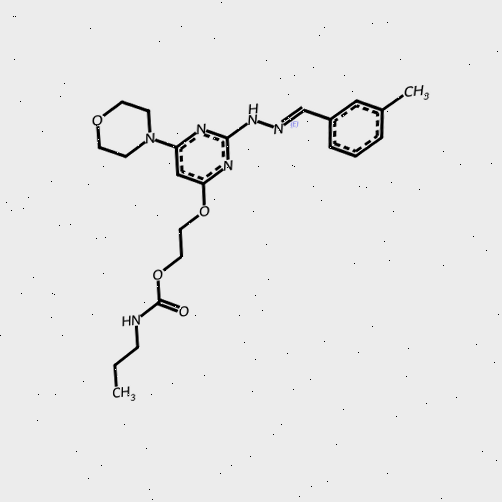 CCCNC(=O)OCCOc1cc(N2CCOCC2)nc(N/N=C/c2cccc(C)c2)n1